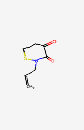 C=C[CH]N1SCCC(=O)C1=O